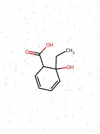 CCC1(O)C=CC=CC1C(=O)O